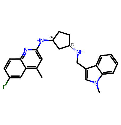 Cc1cc(N[C@H]2CC[C@H](NCc3cn(C)c4ccccc34)C2)nc2ccc(F)cc12